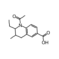 CCC1C(C)Cc2cc(C(=O)O)ccc2N1C(C)=O